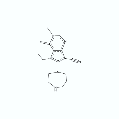 CCn1c(N2CCCNCC2)c(C#N)c2ncn(C)c(=O)c21